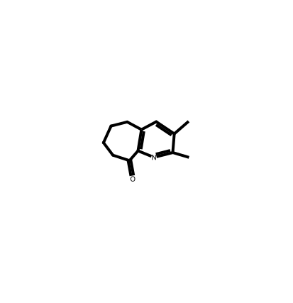 Cc1cc2c(nc1C)C(=O)CCCC2